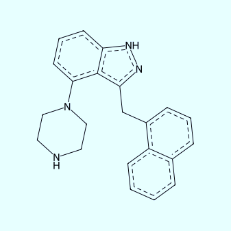 c1ccc2c(Cc3n[nH]c4cccc(N5CCNCC5)c34)cccc2c1